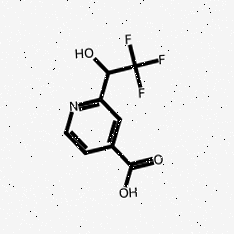 O=C(O)c1ccnc(C(O)C(F)(F)F)c1